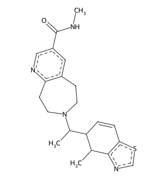 CNC(=O)c1cnc2c(c1)CCN(C(C)C1C=Cc3scnc3C1C)CC2